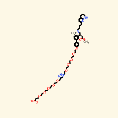 COC(=O)C[C@H](CN(C)CCCCc1ccc2c(n1)NCCC2)c1cccc(-c2ccc(OCCOCCOCCOCCOCCn3cc(COCCOCCOCCOCCOCCC(=O)O)nn3)cc2)c1